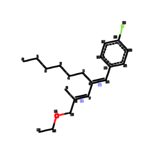 CCCCCCC(/C=C(\C)COCC)=C\c1ccc(F)cc1